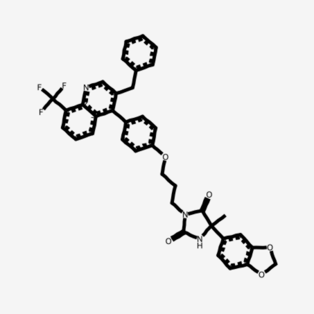 CC1(c2ccc3c(c2)OCO3)NC(=O)N(CCCOc2ccc(-c3c(Cc4ccccc4)cnc4c(C(F)(F)F)cccc34)cc2)C1=O